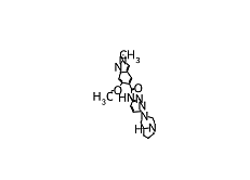 CCOc1cc2nn(C)cc2cc1C(=O)Nc1ccc(N2CCN3CCC[C@H]3C2)nn1